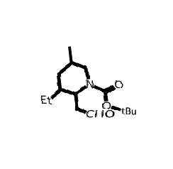 CCC1CC(C)CN(C(=O)OC(C)(C)C)C1CC=O